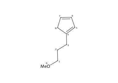 COCCCC1=CC=CC1